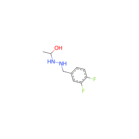 CC(O)NNCc1ccc(F)c(F)c1